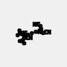 N#Cc1cccc(-c2cc(-c3ccc(-c4ccc(-c5cc(C#N)c(-n6c7ccc(N(c8ccccc8)c8ccccc8)cc7c7cc(N(c8ccccc8)c8ccccc8)ccc76)c(C#N)c5)cc4)cc3)nc(-c3cccc(C#N)c3)n2)c1